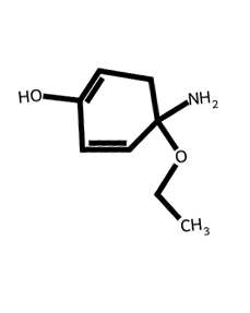 CCOC1(N)C=CC(O)=CC1